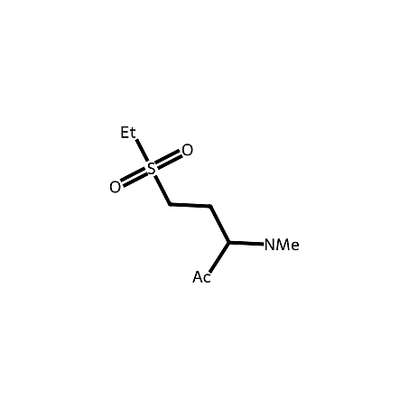 CCS(=O)(=O)CCC(NC)C(C)=O